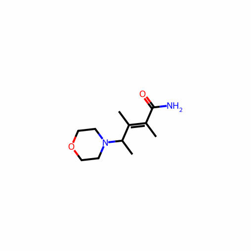 C/C(C(N)=O)=C(/C)C(C)N1CCOCC1